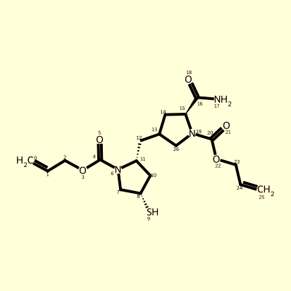 C=CCOC(=O)N1C[C@@H](S)C[C@H]1CC1C[C@@H](C(N)=O)N(C(=O)OCC=C)C1